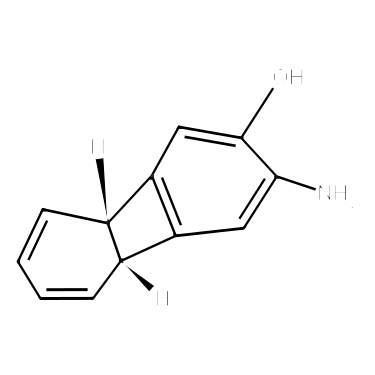 Nc1cc2c(cc1O)[C@H]1C=CC=C[C@@H]21